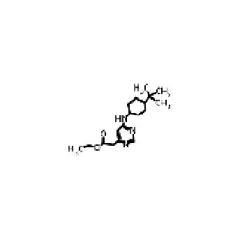 CCOC(=O)Cc1cc(NC2CCC(C(C)(C)C)CC2)ncn1